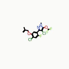 C=C(C)COc1cc(-c2nn(C)c(OC(F)F)c2Cl)c(F)cc1Cl